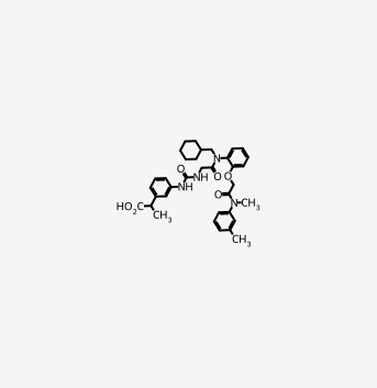 Cc1cccc(N(C)C(=O)COc2ccccc2N(CC2CCCCC2)C(=O)CNC(=O)Nc2cccc(C(C)C(=O)O)c2)c1